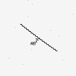 CCCCCCCCCCCCCCCCCC(CCCCCCCCCCCCCCCC)[N+](C)(C)CC.Cl.Cl